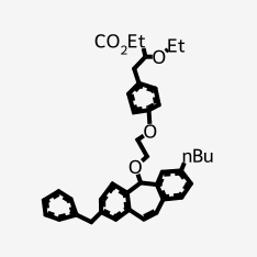 CCCCc1ccc2c(c1)C(OCCOc1ccc(CC(OCC)C(=O)OCC)cc1)c1ccc(Cc3ccccc3)cc1C=C2